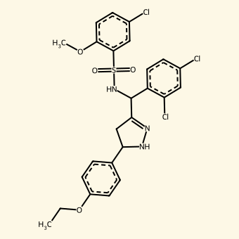 CCOc1ccc(C2CC(C(NS(=O)(=O)c3cc(Cl)ccc3OC)c3ccc(Cl)cc3Cl)=NN2)cc1